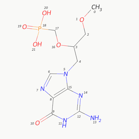 COCC(Cn1cnc2c(=O)[nH]c(N)nc21)OCP(=O)(O)O